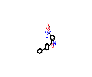 CN/C(=N\OC=O)c1ccc2noc(-c3ccc(-c4ccccc4)cc3)c2c1